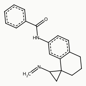 C=NC1CC12CCCc1ccc(NC(=O)c3ccccc3)cc12